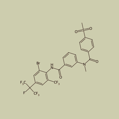 CN(C(=O)c1ccc(S(C)(=O)=O)cc1)c1cccc(C(=O)Nc2c(Br)cc(C(F)(C(F)(F)F)C(F)(F)F)cc2C(F)(F)F)c1